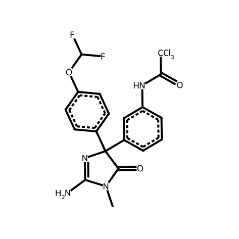 CN1C(=O)C(c2ccc(OC(F)F)cc2)(c2cccc(NC(=O)C(Cl)(Cl)Cl)c2)N=C1N